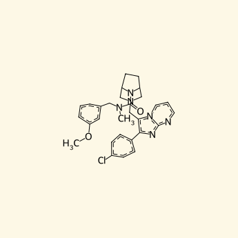 COc1cccc(CN(C)C(=O)N2C3CCC2CN(Cc2c(-c4ccc(Cl)cc4)nc4ncccn24)C3)c1